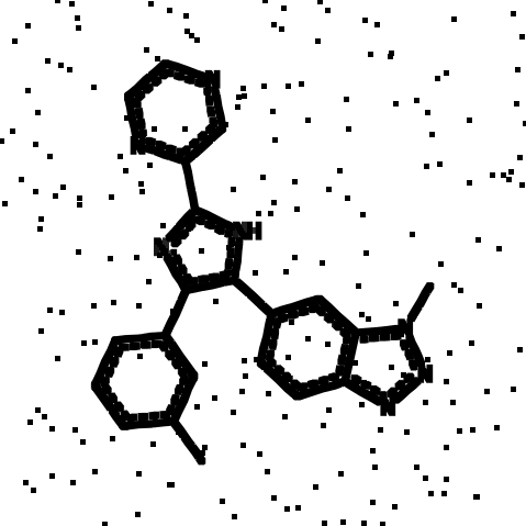 Cc1cccc(-c2nc(-c3cnccn3)[nH]c2-c2ccc3nnn(C)c3c2)c1